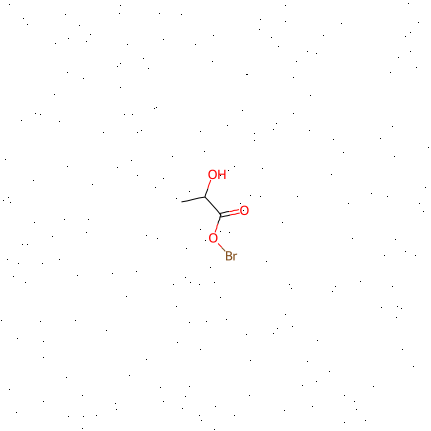 CC(O)C(=O)OBr